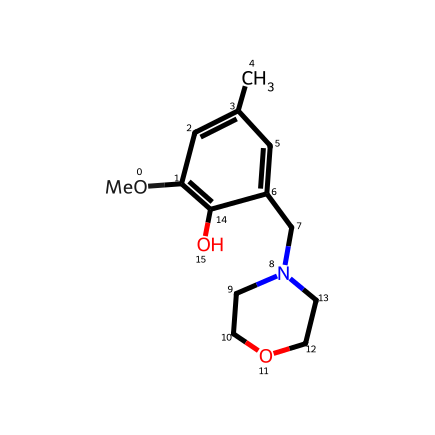 COc1cc(C)cc(CN2CCOCC2)c1O